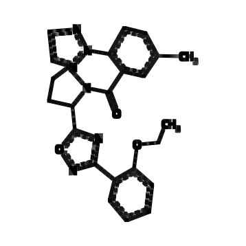 CCOc1ccccc1-c1noc(C2CCCN2C(=O)c2cc(C)ccc2-n2nccn2)n1